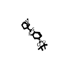 CN1CC2(c3nc4cc(B5OC(C)(C)C(C)(C)O5)ccc4s3)CCC1C2